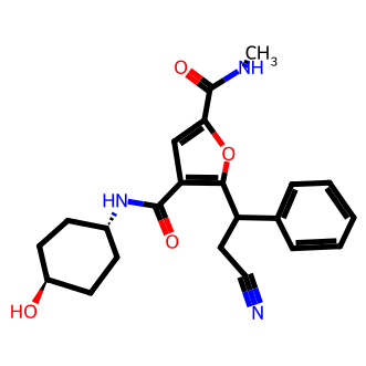 CNC(=O)c1cc(C(=O)N[C@H]2CC[C@H](O)CC2)c(C(CC#N)c2ccccc2)o1